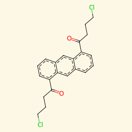 O=C(CCCCl)c1cccc2cc3c(C(=O)CCCCl)cccc3cc12